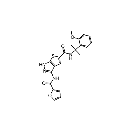 COc1ccccc1C(C)(C)NC(=O)c1cc2c(NC(=O)c3ccco3)n[nH]c2s1